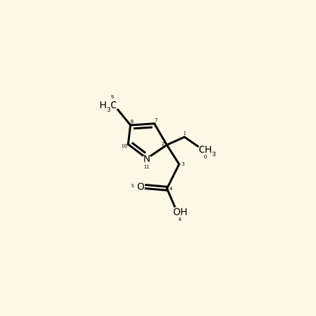 CCC1(CC(=O)O)C=C(C)C=N1